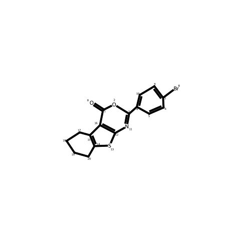 O=c1oc(-c2ccc(Br)cc2)nc2sc3c(c12)CCCC3